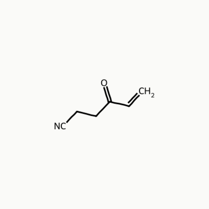 C=CC(=O)CCC#N